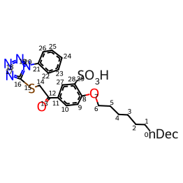 CCCCCCCCCCCCCCCCOc1ccc(C(=O)CSc2nnnn2-c2ccccc2)cc1S(=O)(=O)O